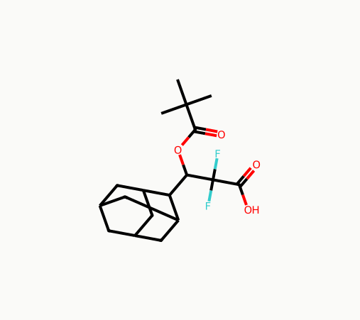 CC(C)(C)C(=O)OC(C1C2CC3CC(C2)CC1C3)C(F)(F)C(=O)O